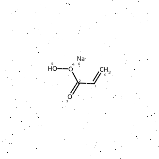 C=CC(=O)OO.[Na]